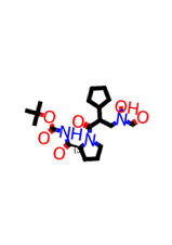 CC(C)(C)OC(=O)NC(=O)[C@@H]1CCCN1C(=O)C(CN(O)C=O)C1CCCC1